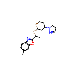 Cc1ccc2nc(C(C)SC3CC(N4CCC=N4)CCS3)oc2c1